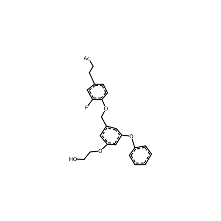 CC(=O)CCc1ccc(OCc2cc(OCCO)cc(Oc3ccccc3)c2)c(F)c1